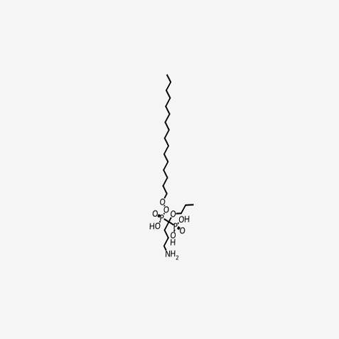 CCCCCCCCCCCCCCCCOOP(=O)(O)C(CCCN)(OCCC)P(=O)(O)O